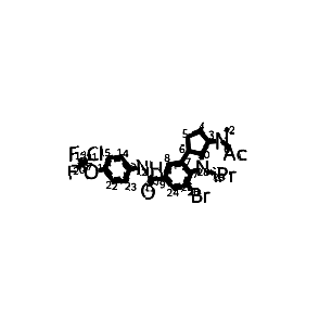 CC(=O)N(C)C1CCC2c3cc(C(=O)Nc4ccc(OC(F)(F)Cl)cc4)cc(Br)c3N(C(C)C)C21